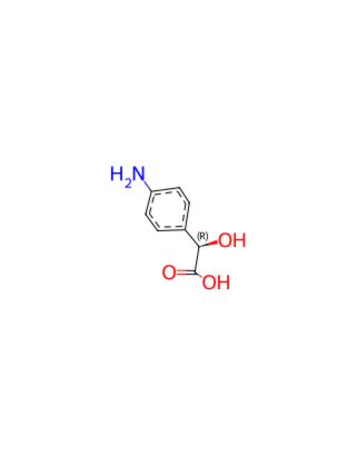 Nc1ccc([C@@H](O)C(=O)O)cc1